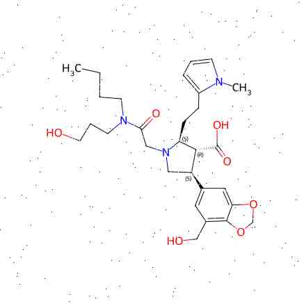 CCCCN(CCCO)C(=O)CN1C[C@H](c2cc(CO)c3c(c2)OCO3)[C@@H](C(=O)O)[C@@H]1CCc1cccn1C